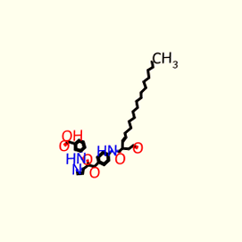 CCCCCCCCCCCCCCCCC=CC(CC=O)C(=O)Nc1ccc(C(=O)C(ONc2cccc(C(=O)O)c2)C2=NC=C2)cc1